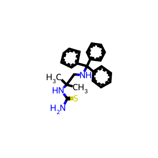 CC(C)(CNC(c1ccccc1)(c1ccccc1)c1ccccc1)NC(N)=S